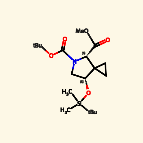 COC(=O)[C@H]1N(C(=O)OC(C)(C)C)C[C@@H](O[Si](C)(C)C(C)(C)C)C12CC2